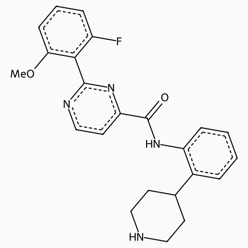 COc1cccc(F)c1-c1nccc(C(=O)Nc2ccccc2C2CCNCC2)n1